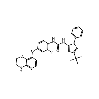 CC(C)(C)c1cc(NC(=O)Nc2ccc(Oc3ccnc4c3OCCN4)cc2F)n(-c2ccccc2)n1